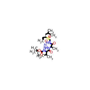 C=C[C@H](CC(C)C)S(=O)(=O)CNC(=O)C(C)NC(=O)C(C(C)C)N(N)C(=O)OC(C)(C)C